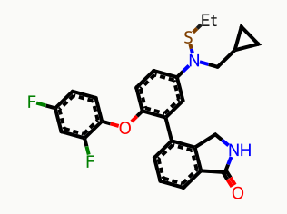 CCSN(CC1CC1)c1ccc(Oc2ccc(F)cc2F)c(-c2cccc3c2CNC3=O)c1